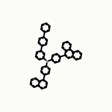 c1ccc(-c2ccc(-c3cccc(N(c4ccc(-c5cccc6ccccc56)cc4)c4ccc(-c5cc6ccccc6c6ccccc56)cc4)c3)cc2)cc1